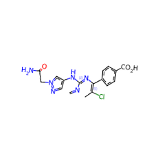 C=N/C(=N\C(=C(/C)Cl)c1ccc(C(=O)O)cc1)Nc1cnn(CC(N)=O)c1